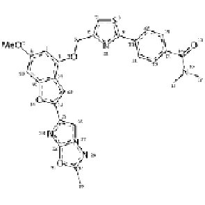 COc1cc(OCc2csc(-c3ccc(C(=O)N(C)C)cc3)n2)c2cc(-c3cn4nc(C)oc4n3)oc2c1